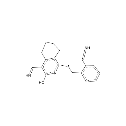 N=Cc1ccccc1CSc1nc(O)c(C=N)c2c1CCCC2